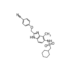 Cc1c(NS(=O)(=O)CC2CCCCC2)ccc2[nH]c(COc3ccc(C#N)cc3)nc12